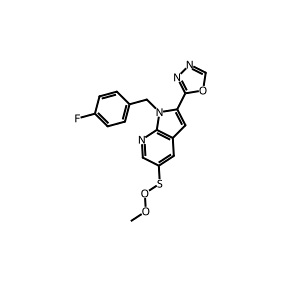 COOSc1cnc2c(c1)cc(-c1nnco1)n2Cc1ccc(F)cc1